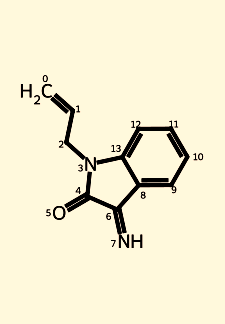 C=CCN1C(=O)C(=N)c2ccccc21